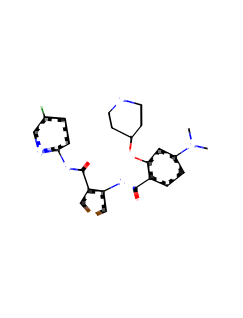 CN(C)c1ccc(C(=O)Nc2cscc2C(=O)Nc2ccc(Cl)cn2)c(OC2CCNCC2)c1